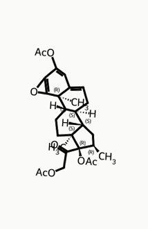 CC(=O)OCC(=O)[C@@]1(OC(C)=O)[C@H](C)C[C@H]2[C@@H]3CC=C4C=C(OC(C)=O)C5=C(O5)[C@]4(C)[C@H]3CC[C@@]21C